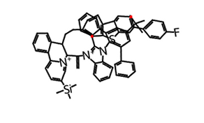 C=C1C2C(CCc3ccc4c(sc5cc(-c6ccc(F)cc6)ccc54)c3-c3n(-c4c(-c5ccccc5)cc(C(C)(C)C)cc4-c4ccccc4)c4ccccc4[n+]31)c1ccccc1-c1ccc([Si](C)(C)C)c[n+]12